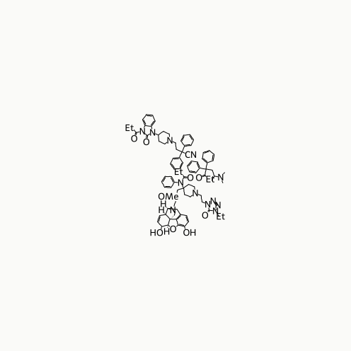 CCC(=O)C(CC(C)N(C)C)(c1ccccc1)c1ccccc1.CCC(=O)N(c1ccccc1)C1(COC)CCN(CCn2nnn(CC)c2=O)CC1.CCC(=O)n1c(=O)n(C2CCN(CCC(C#N)(c3ccccc3)c3ccccc3)CC2)c2ccccc21.CN1CC[C@]23c4c5ccc(O)c4O[C@H]2[C@@H](O)C=C[C@H]3[C@H]1C5